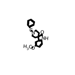 COc1ccc2c(c1)C1(CCN(Cc3ccccc3)CC1)C(=O)N2